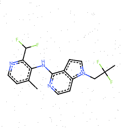 Cc1ccnc(C(F)F)c1Nc1nccc2c1ccn2CC(C)(F)F